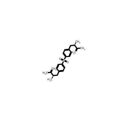 C=C(C)[C@H](C)Cc1ccc(S(=O)(=O)c2ccc(C[C@@H](C)C(=C)C)cc2)cc1